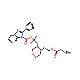 CCCCCCCCCCCC(=O)OCCN1CCOCC1CC(C)(C)OC(=O)n1c(-c2ccccc2)nc2ccccc21